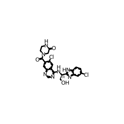 O=C1CN(C(=O)c2cc3ncnc(N[C@H](CO)c4nc5cc(Cl)ccc5[nH]4)c3cc2Cl)CCN1